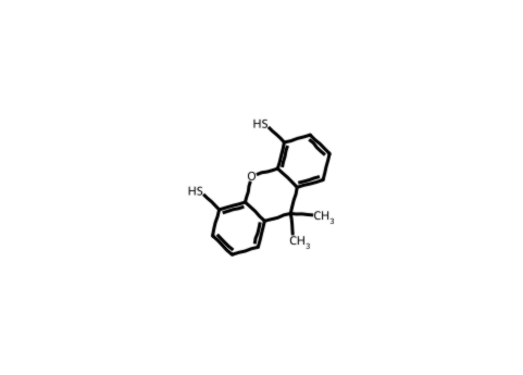 CC1(C)c2cccc(S)c2Oc2c(S)cccc21